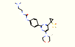 C[C@H]1COCCN1c1cc(C2(S(=O)(=O)C(C)(C)C)CC2)nc(-c2ccc(NC(=O)NCCN(C)C)cc2)n1